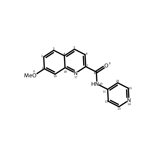 COc1ccc2ccc(C(=O)Nc3ccncc3)nc2c1